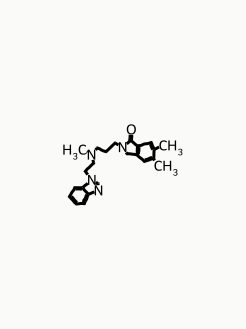 Cc1cc2c(cc1C)C(=O)N(CCCN(C)CCn1cnc3ccccc31)C2